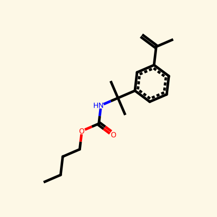 C=C(C)c1cccc(C(C)(C)NC(=O)OCCCC)c1